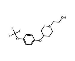 OCCN1CCC(Oc2ccc(OC(F)(F)F)cc2)CC1